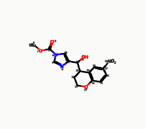 CC(C)(C)OC(=O)n1cnc(C(O)C2CCOc3ccc([N+](=O)[O-])cc32)c1